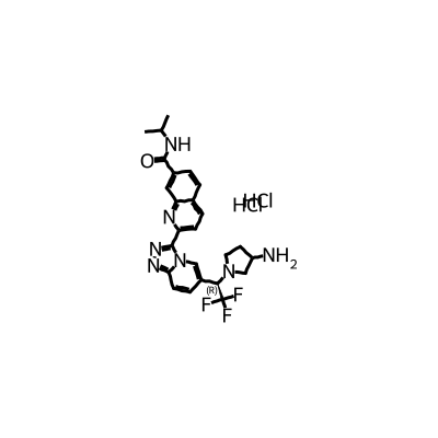 CC(C)NC(=O)c1ccc2ccc(-c3nnc4ccc([C@@H](N5CCC(N)C5)C(F)(F)F)cn34)nc2c1.Cl.Cl